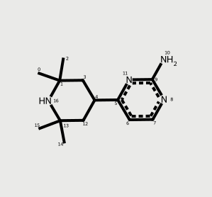 CC1(C)CC(c2ccnc(N)n2)CC(C)(C)N1